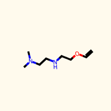 C=COCCNCCN(C)C